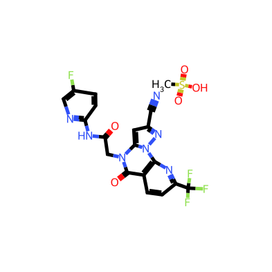 CS(=O)(=O)O.N#Cc1cc2n(CC(=O)Nc3ccc(F)cn3)c(=O)c3ccc(C(F)(F)F)nc3n2n1